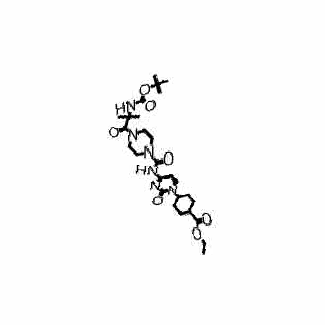 CCOC(=O)C1CCC(n2ccc(NC(=O)N3CCN(C(=O)C(C)(C)NC(=O)OC(C)(C)C)CC3)nc2=O)CC1